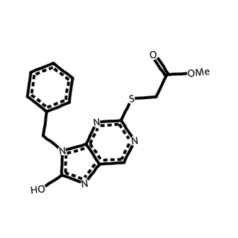 COC(=O)CSc1ncc2nc(O)n(Cc3ccccc3)c2n1